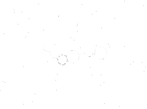 FC(F)COc1ccc2c(n1)CCN(CC[C@H]1CCCCCO1)CC2